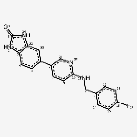 O=c1[nH]c2ccc(-c3ccc(NCc4ccc(F)cc4)nc3)cc2[nH]1